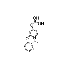 CC(c1ccccn1)n1ccc(OB(O)O)cc1=O